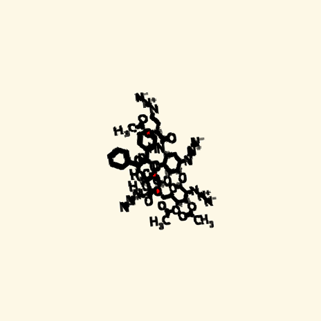 CC(=O)OCC1O[C@H](O[C@@H]2C(N=[N+]=[N-])C[C@@H](NC(=O)[C@H](CCN=[N+]=[N-])OC(C)=O)C(OC(C)=O)[C@H]2O[C@@H]2O[C@H](CN=[N+]=[N-])[C@@H](OC(=O)c3ccccc3)C2OC(=O)c2ccccc2)C(N=[N+]=[N-])[C@@H](OC(C)=O)[C@@H]1OC(C)=O